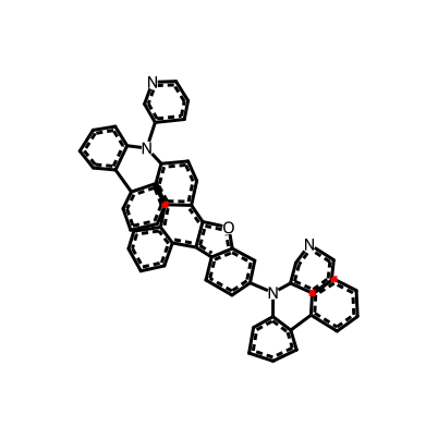 c1ccc(-c2ccccc2N(c2cccnc2)c2ccc3c(c2)oc2c4ccc(N(c5cccnc5)c5ccccc5-c5ccccc5)cc4c4ccccc4c32)cc1